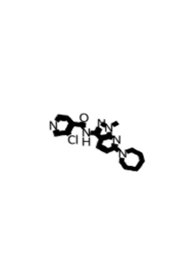 Cn1nc(NC(=O)c2ccncc2Cl)c2ccc(N3CCCCCC3)nc21